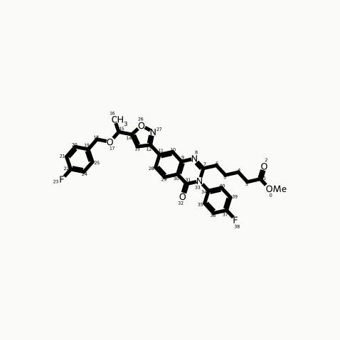 COC(=O)CCCCc1nc2cc(-c3cc(C(C)OCc4ccc(F)cc4)on3)ccc2c(=O)n1-c1ccc(F)cc1